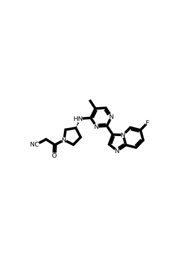 Cc1cnc(-c2cnc3ccc(F)cn23)nc1N[C@@H]1CCN(C(=O)CC#N)C1